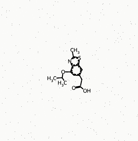 Cc1nc2c(OC(C)C)cc(CC(=O)O)cc2s1